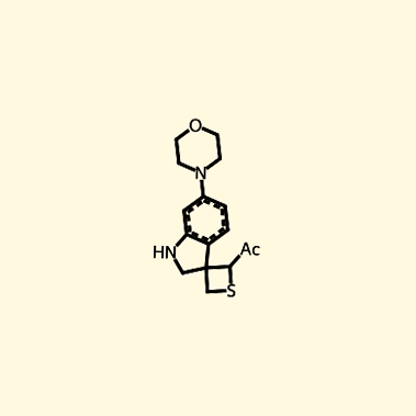 CC(=O)C1SCC12CNc1cc(N3CCOCC3)ccc12